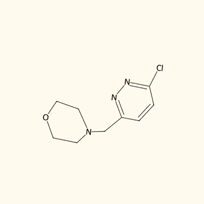 Clc1ccc(CN2CCOCC2)nn1